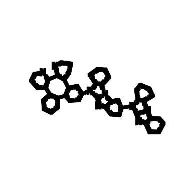 c1ccc2c(c1)-c1ccc(-n3c4ccccc4n4c5cc(-n6c7ccccc7n7c8ccccc8nc67)ccc5nc34)cc1-c1cccnc1-c1ncccc1-2